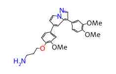 COc1ccc(-c2cnn3ccc(-c4ccc(OCCCN)c(OC)c4)cc23)cc1OC